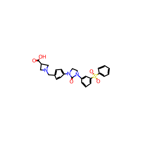 O=C(O)C1CN(Cc2ccc(N3CCN(c4cccc(S(=O)(=O)c5ccccc5)c4)C3=O)cc2)C1